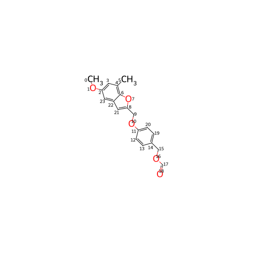 COc1cc(C)c2oc(COc3ccc(COC=O)cc3)cc2c1